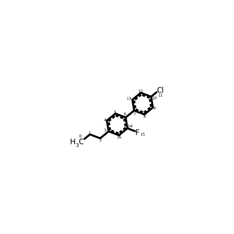 CCCc1ccc(-c2ccc(Cl)cc2)c(F)c1